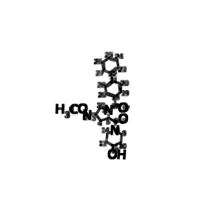 CON=C1CC(C(=O)N2CCC(O)CC2)N(C(=O)c2ccc(-c3ccccc3)cc2)C1